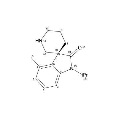 Cc1cccc2c1[C@@]1(CCCNC1)C(=O)N2C(C)C